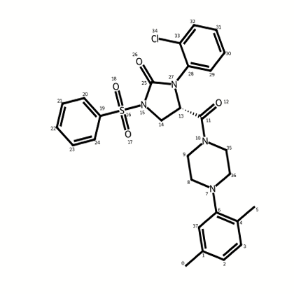 Cc1ccc(C)c(N2CCN(C(=O)[C@@H]3CN(S(=O)(=O)c4ccccc4)C(=O)N3c3ccccc3Cl)CC2)c1